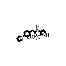 CCOC(=O)c1[nH]ccc1NC(=O)Cc1ccc(-n2cccc2)cc1